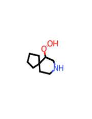 OOC1CNCCC12CCCC2